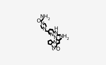 C=C(/N=C1\C(=C/N)C=C(C(=O)N(C)C)N1C1CCCC1)Nc1ccc(CN2CCN(C(=O)CN)CC2)cn1